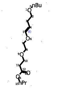 CCCCOCC/C=C/OCCOCCC(=O)OCCC